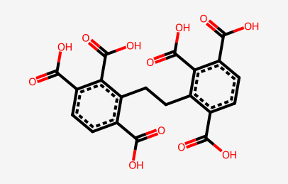 O=C(O)c1ccc(C(=O)O)c(C(=O)O)c1CCc1c(C(=O)O)ccc(C(=O)O)c1C(=O)O